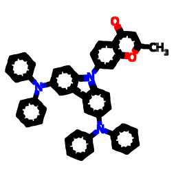 Cc1cc(=O)c2ccc(-n3c4ccc(N(c5ccccc5)c5ccccc5)cc4c4cc(N(c5ccccc5)c5ccccc5)ccc43)cc2o1